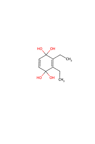 CCC1=C(CC)C(O)(O)C=CC1(O)O